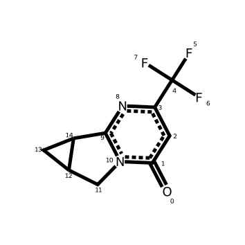 O=c1cc(C(F)(F)F)nc2n1CC1CC21